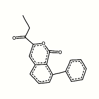 CCC(=O)c1cc2cccc(-c3ccccc3)c2c(=O)o1